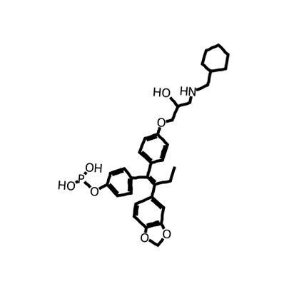 CCC(=C(c1ccc(OCC(O)CNCC2CCCCC2)cc1)c1ccc(OP(O)O)cc1)c1ccc2c(c1)OCO2